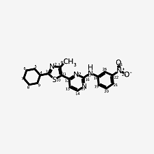 Cc1nc(C2CCCCC2)sc1-c1ccnc(Nc2cccc([N+](=O)[O-])c2)n1